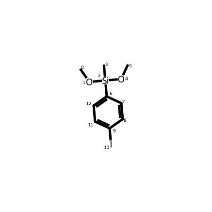 CO[Si](C)(OC)c1ccc(I)cc1